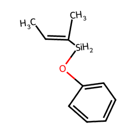 CC=C(C)[SiH2]Oc1ccccc1